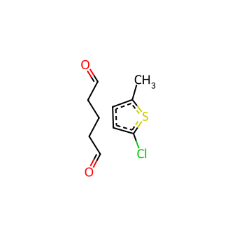 Cc1ccc(Cl)s1.O=CCCCC=O